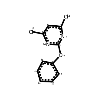 Clc1cc(Cl)nc(Oc2ccccc2)n1